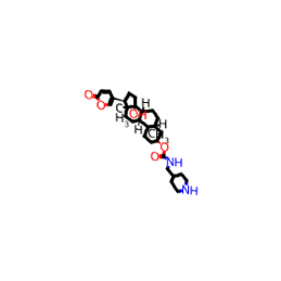 C[C@]12CC[C@H](OC(=O)NCC3CCNCC3)C[C@H]1CC[C@@H]1[C@@H]2CC[C@]2(C)[C@@H](c3ccc(=O)oc3)CC[C@]12O